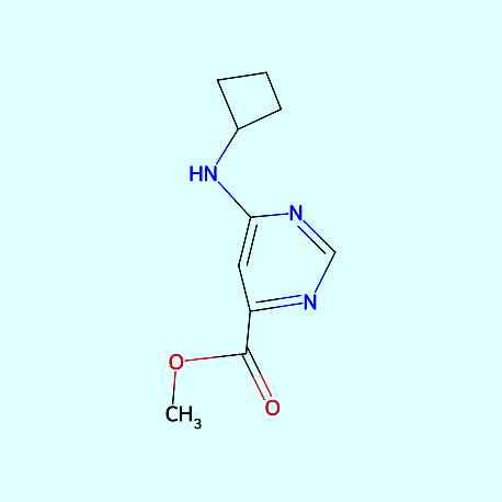 COC(=O)c1cc(NC2CCC2)ncn1